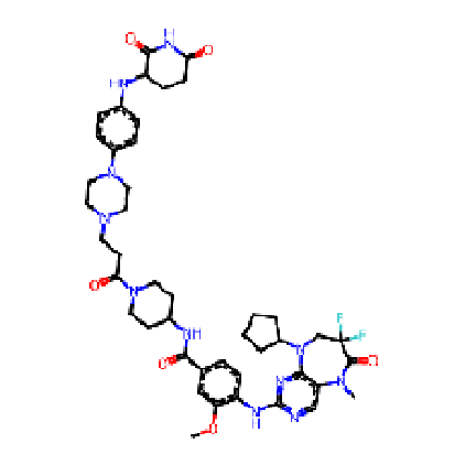 COc1cc(C(=O)NC2CCN(C(=O)CCN3CCN(c4ccc(NC5CCC(=O)NC5=O)cc4)CC3)CC2)ccc1Nc1ncc2c(n1)N(C1CCCC1)CC(F)(F)C(=O)N2C